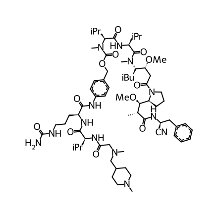 CC[C@H](C)[C@@H]([C@@H](CC(=O)N1CCC[C@H]1[C@H](OC)[C@@H](C)C(=O)N[C@H](C#N)Cc1ccccc1)OC)N(C)C(=O)[C@@H](NC(=O)[C@H](C(C)C)N(C)C(=O)OCc1ccc(NC(=O)[C@H](CCCNC(N)=O)NC(=O)[C@@H](NC(=O)CN(C)CC2CCN(C)CC2)C(C)C)cc1)C(C)C